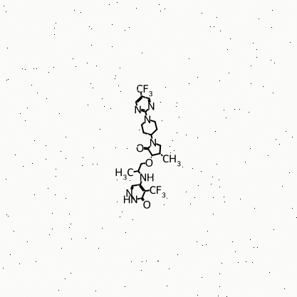 CC(CO[C@@H]1C(=O)N(C2CCN(c3ncc(C(F)(F)F)cn3)CC2)C[C@H]1C)Nc1cn[nH]c(=O)c1C(F)(F)F